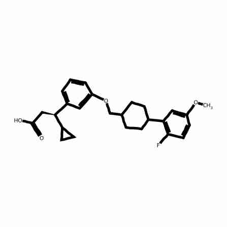 COc1ccc(F)c(C2CCC(COc3cccc([C@H](CC(=O)O)C4CC4)c3)CC2)c1